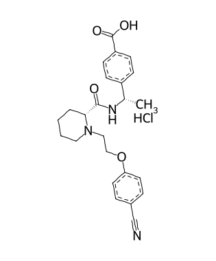 C[C@H](NC(=O)[C@H]1CCCCN1CCOc1ccc(C#N)cc1)c1ccc(C(=O)O)cc1.Cl